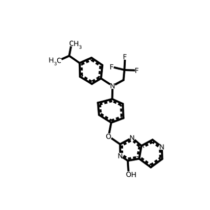 CC(C)c1ccc(N(CC(F)(F)F)c2ccc(Oc3nc(O)c4ccncc4n3)cc2)cc1